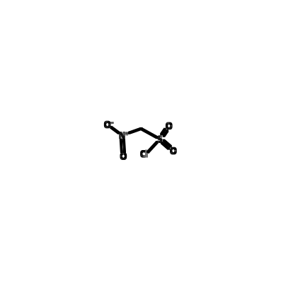 O=[N+]([O-])CS(=O)(=O)Cl